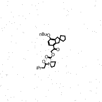 CCCCOc1ccc(C(=O)COC(=O)[C@@H]2CCCN2C(=O)CC(C)C)c2c1CC1(CCCC1)C2